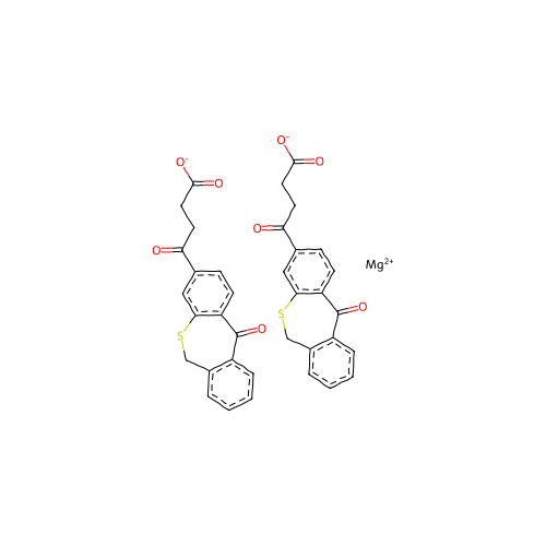 O=C([O-])CCC(=O)c1ccc2c(c1)SCc1ccccc1C2=O.O=C([O-])CCC(=O)c1ccc2c(c1)SCc1ccccc1C2=O.[Mg+2]